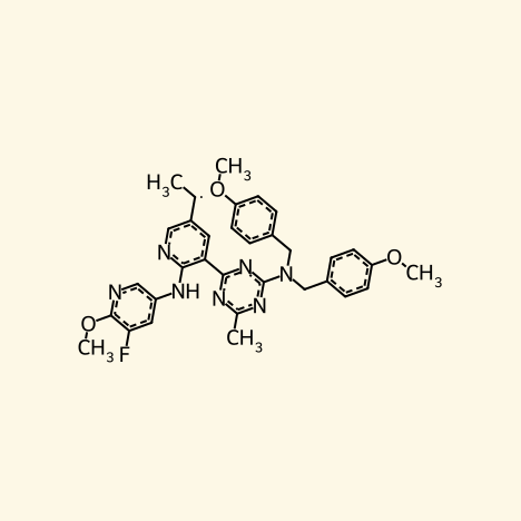 C[CH]c1cnc(Nc2cnc(OC)c(F)c2)c(-c2nc(C)nc(N(Cc3ccc(OC)cc3)Cc3ccc(OC)cc3)n2)c1